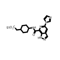 CCOC(=O)CC1CCC(NC(=O)c2nc(-n3ccnc3)cc3cn[nH]c23)CC1